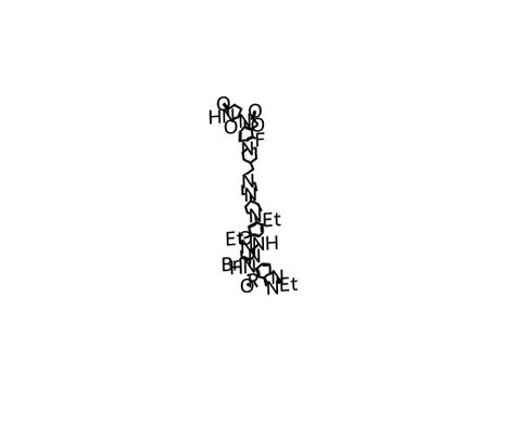 CCOc1cc(N2CCC(N3CCN(CCC4CCN(c5ccc6c(oc(=O)n6C6CCC(=O)NC6=O)c5F)CC4)CC3)CC2)c(CC)cc1Nc1ncc(Br)c(Nc2ccc3nc(CC)ncc3c2P(C)(C)=O)n1